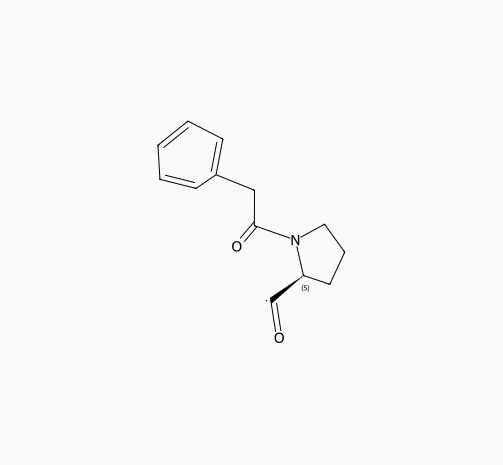 O=[C][C@@H]1CCCN1C(=O)Cc1ccccc1